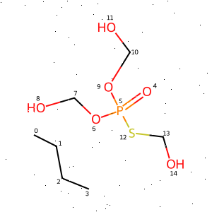 CCCC.O=P(OCO)(OCO)SCO